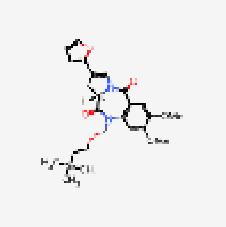 COc1cc2c(cc1OC)N(COCC[Si](C)(C)C)C(=O)[C@@H]1CC(c3ccco3)=CN1C2=O